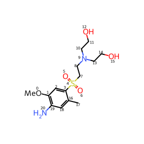 COc1cc(S(=O)(=O)CCN(CCO)CCO)c(C)cc1N